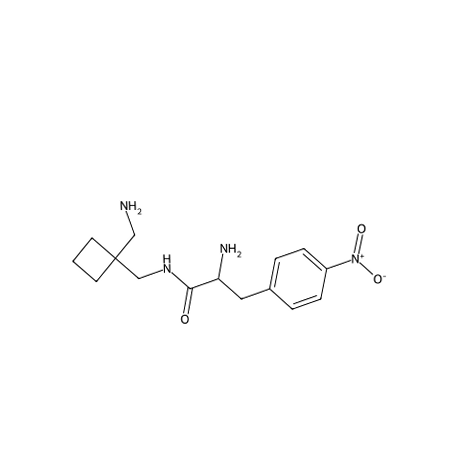 NCC1(CNC(=O)C(N)Cc2ccc([N+](=O)[O-])cc2)CCC1